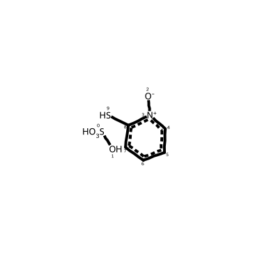 O=S(=O)(O)O.[O-][n+]1ccccc1S